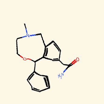 CN1CCOC(c2ccccc2)c2cc(C(N)=O)ccc2C1